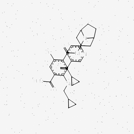 NC(=O)c1cc(Br)c(C(=O)NC2CC3CCC(C2)N3c2ccc(C(=O)C3CC3)cn2)cc1NCC1CC1